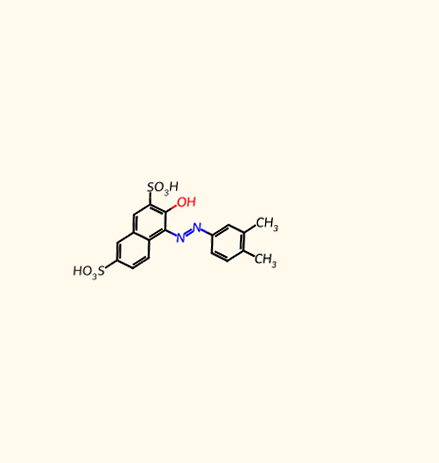 Cc1ccc(N=Nc2c(O)c(S(=O)(=O)O)cc3cc(S(=O)(=O)O)ccc23)cc1C